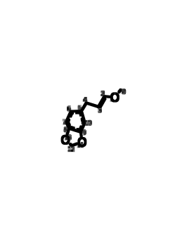 COC=CCc1ccc2c(c1)OCO2